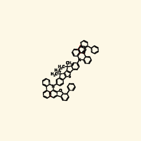 CC1(C)c2cc(N(c3ccccc3-c3ccccc3)c3cccc4c3oc3c(-c5ccccc5)cccc34)ccc2-c2sc3c(c21)C(C)(C)c1cc(N(c2ccccc2-c2ccccc2)c2cccc4c2oc2c(-c5ccccc5)cccc24)ccc1-3